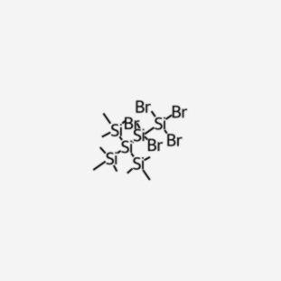 C[Si](C)(C)[Si]([Si](C)(C)C)([Si](C)(C)C)[Si](Br)(Br)[Si](Br)(Br)Br